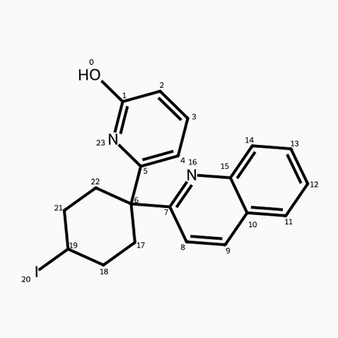 Oc1cccc(C2(c3ccc4ccccc4n3)CCC(I)CC2)n1